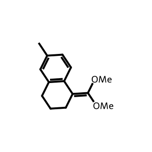 COC(OC)=C1CCCc2cc(C)ccc21